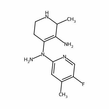 Cc1cc(N(N)C2=C(N)C(C)NCC2)ncc1F